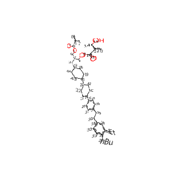 C=C(C)C(=O)OCC(COC(=O)C(=C)CO)CC1CCC(C2CCC(c3ccc(CCc4ccc(CCCC)c(CC)c4)cc3)CC2)CC1